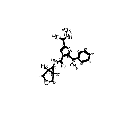 CNC(O)c1cc(C(=O)N[C@H]2[C@@H]3COC[C@@H]32)c([C@@H](C)c2ccccc2)o1